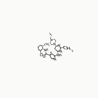 Cc1nc(Nc2ncc(C(=O)Nc3c(C)cccc3Cl)s2)cc(N2CCN(CCI)CC2)n1